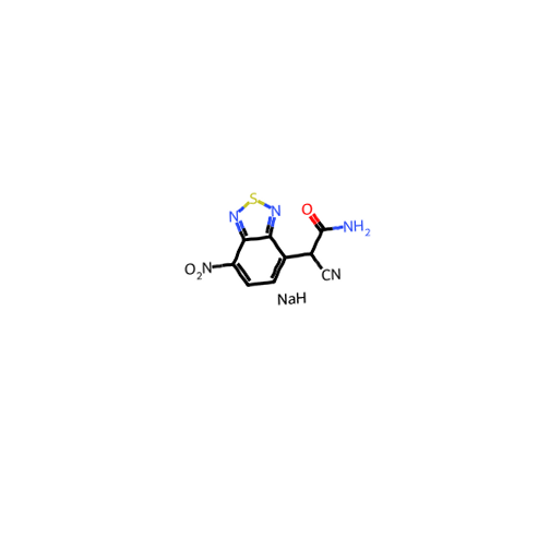 N#CC(C(N)=O)c1ccc([N+](=O)[O-])c2nsnc12.[NaH]